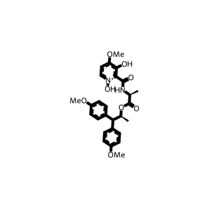 COc1ccc(C(c2ccc(OC)cc2)[C@H](C)OC(=O)[C@H](C)NC(=O)c2c(O)c(OC)cc[n+]2O)cc1